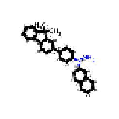 CC1(C)c2ccccc2-c2ccc(-c3ccc(N(N)c4ccc5ccccc5c4)cc3)cc21